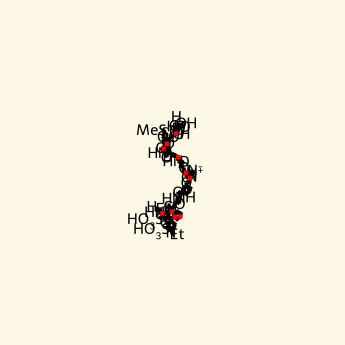 CC/N=C1\CCC2=C(c3ccccc3C(=O)N(C)CCC(=O)NNC(=O)c3cccc(OCC(N=[N+]=[N-])OCCOCC(=O)NCC#Cc4cn([C@H]5CC(OSSC)[C@@H](CO[PH](=O)O[PH](=O)O[PH](=O)O)O5)c(=O)[nH]c4=O)c3)C3=C(OC2=C1S(=O)(=O)O)C(S(=O)(=O)O)=C(NCC)CC3